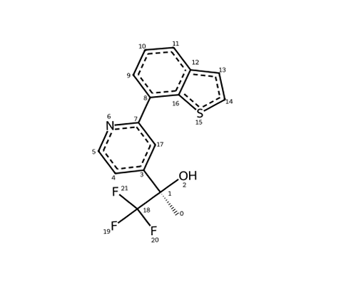 C[C@@](O)(c1ccnc(-c2cccc3ccsc23)c1)C(F)(F)F